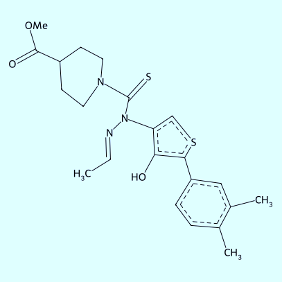 CC=NN(C(=S)N1CCC(C(=O)OC)CC1)c1csc(-c2ccc(C)c(C)c2)c1O